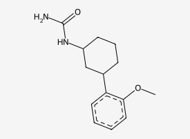 COc1ccccc1C1CCCC(NC(N)=O)C1